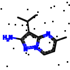 Cc1ccn2nc(N)c(C(C)C)c2n1